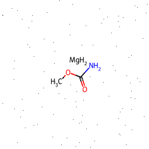 COC(N)=O.[MgH2]